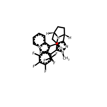 Cn1nc2c(c1-c1cc(F)c(F)c(F)c1)C[C@@H]1CC[C@H]2N1C(=O)c1c(C(F)(F)F)nn2ccccc12